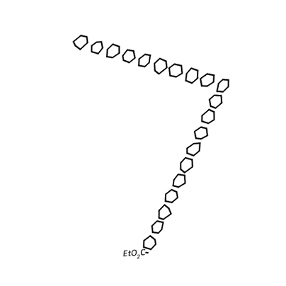 C1CCCCC1.C1CCCCC1.C1CCCCC1.C1CCCCC1.C1CCCCC1.C1CCCCC1.C1CCCCC1.C1CCCCC1.C1CCCCC1.C1CCCCC1.C1CCCCC1.C1CCCCC1.C1CCCCC1.C1CCCCC1.C1CCCCC1.C1CCCCC1.C1CCCCC1.C1CCCCC1.C1CCCCC1.C1CCCCC1.CCOC(C)=O